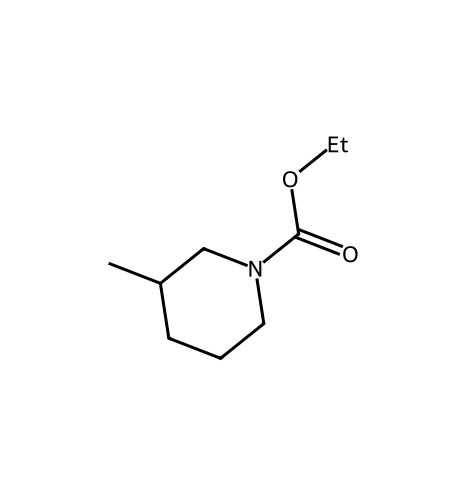 CCOC(=O)N1CCCC(C)C1